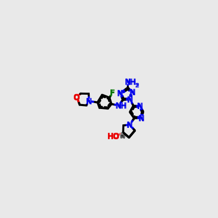 Nc1nc(Nc2ccc(N3CCOCC3)cc2F)n(-c2cc(N3CC[C@H](O)C3)ncn2)n1